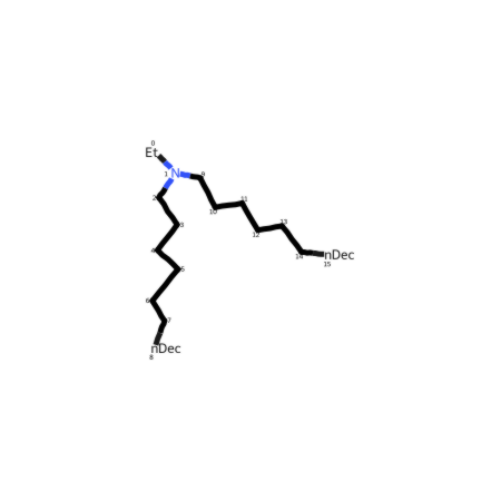 [CH2]CN(CCCCCCCCCCCCCCCC)CCCCCCCCCCCCCCCC